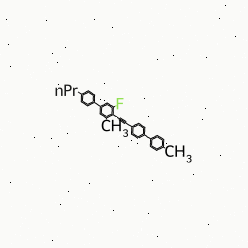 CCCc1ccc(-c2cc(C)c(C#Cc3ccc(-c4ccc(C)cc4)cc3)c(F)c2)cc1